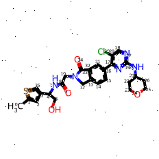 Cc1cc(C(CO)NC(=O)CN2Cc3ccc(-c4nc(NC5CCOCC5)ncc4Cl)cc3C2=O)cs1